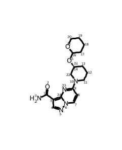 NC(=O)c1cnn2ccc(N3CCC[C@H](OC4CCCCO4)C3)nc12